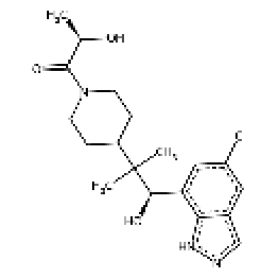 C[C@@H](O)C(=O)N1CCC(C(C)(C)[C@H](O)c2cc(Cl)cc3cn[nH]c23)CC1